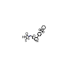 O=C1NC(=S)S/C1=C\c1cc2cncc(-c3ccc(S(=O)(=O)N4CCCCC4)cc3)c2o1